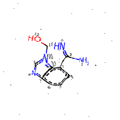 N=C(N)c1cccc2ncn(CO)c12